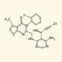 CCC#CC(=N)c1c(N)ncnc1NCc1nc2scc(C)c2c(=O)n1-c1ccccc1F